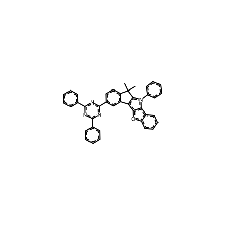 CC1(C)c2ccc(-c3nc(-c4ccccc4)nc(-c4ccccc4)n3)cc2-c2c1n(-c1ccccc1)c1c2oc2ccccc21